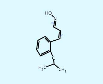 CC(C)Cc1ccccc1/C=C\C=N\O